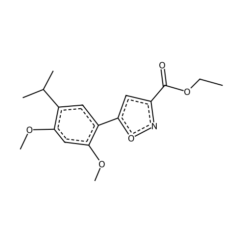 CCOC(=O)c1cc(-c2cc(C(C)C)c(OC)cc2OC)on1